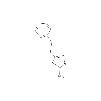 Nc1ncc(SCc2ccncc2)s1